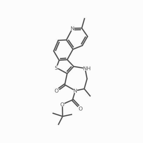 Cc1ccc2c(ccc3sc4c(c32)NCC(C)N(C(=O)OC(C)(C)C)C4=O)n1